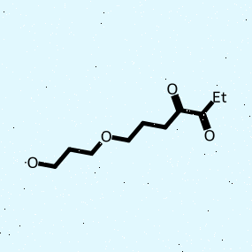 CCC(=O)C(=O)CCCOCCC[O]